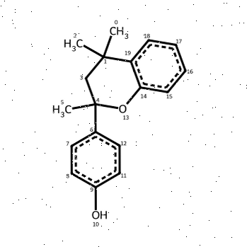 CC1(C)CC(C)(c2ccc(O)cc2)Oc2ccccc21